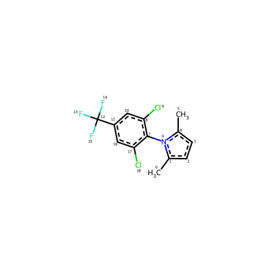 Cc1ccc(C)n1-c1c(Cl)cc(C(F)(F)F)cc1Cl